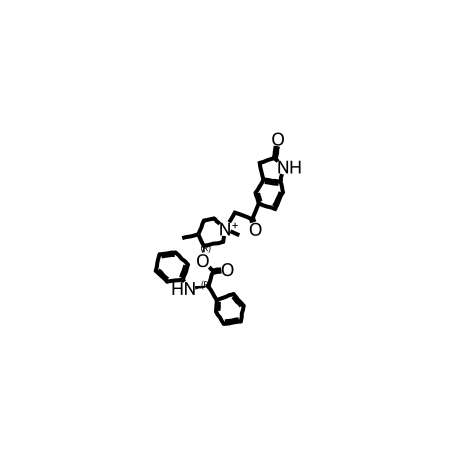 CC1CC[N+](C)(CC(=O)c2ccc3c(c2)CC(=O)N3)C[C@@H]1OC(=O)[C@H](Nc1ccccc1)c1ccccc1